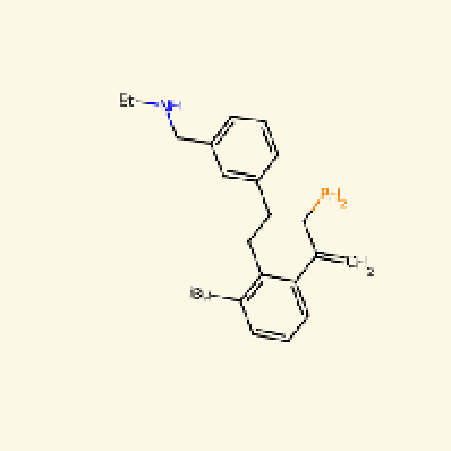 C=C(CP)c1cccc(C(C)CC)c1CCc1cccc(CNCC)c1